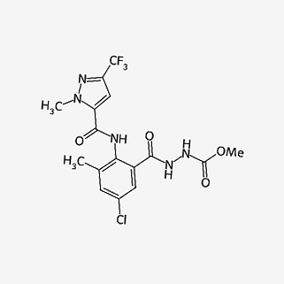 COC(=O)NNC(=O)c1cc(Cl)cc(C)c1NC(=O)c1cc(C(F)(F)F)nn1C